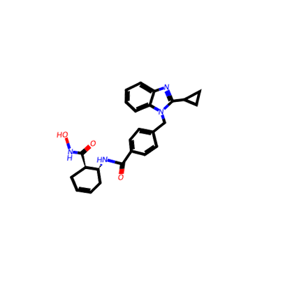 O=C(N[C@@H]1CC=CC[C@H]1C(=O)NO)c1ccc(Cn2c(C3CC3)nc3ccccc32)cc1